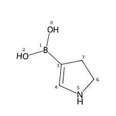 OB(O)C1=CNCC1